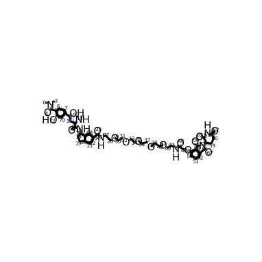 CN(C)C(=O)c1ccc(/C(O)=C/C(=N)C(=O)N[C@@H]2CCc3ccc(C(=O)NCCOCCOCCOCCOCCOCCNC(=O)COc4cccc5c4C(=O)N(C4CCC(=O)NC4=O)C5=O)cc32)cc1O